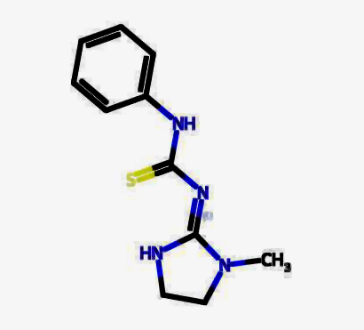 CN1CCN/C1=N\C(=S)Nc1ccccc1